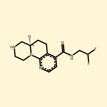 O=C(NCC(F)F)c1ccnc2c1CC[C@@H]1CNCCN21